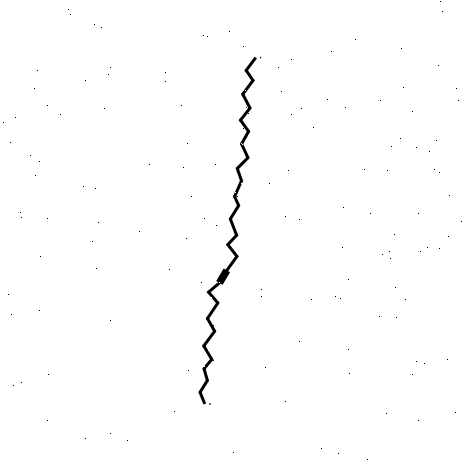 [CH2]CCCCCCCCCC#CCCCCCCCCCCCCCCCC[CH2]